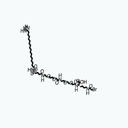 O=C(CBr)NCCCC[C@H](NC(=O)COCCOCCNC(=O)COCCOCCNC(=O)CCCS(=O)(=O)NC(=O)CCCCCCCCCCCCCCCCc1nnn[nH]1)C(=O)O